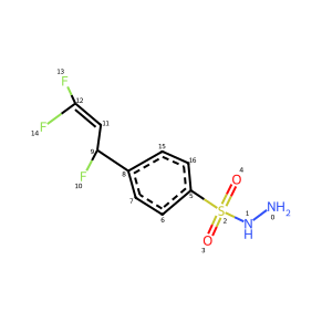 NNS(=O)(=O)c1ccc(C(F)C=C(F)F)cc1